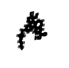 CCc1c(Cl)cccc1C1=C(c2ccc(CC3CN(CCCF)C3)cc2)c2ccc(C(=O)O)cc2CCC1